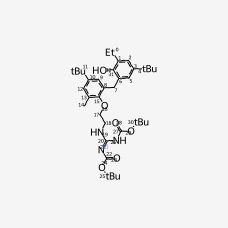 CCc1cc(C(C)(C)C)cc(Cc2cc(C(C)(C)C)cc(C)c2OCCN/C(=N/C(=O)OC(C)(C)C)NC(=O)OC(C)(C)C)c1O